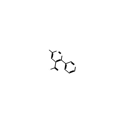 NC(=O)c1cc(C(F)(F)F)nnc1-c1cccnc1